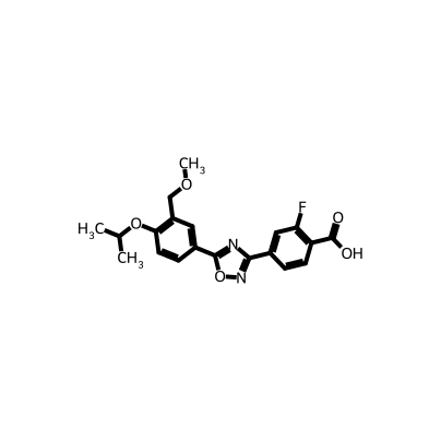 COCc1cc(-c2nc(-c3ccc(C(=O)O)c(F)c3)no2)ccc1OC(C)C